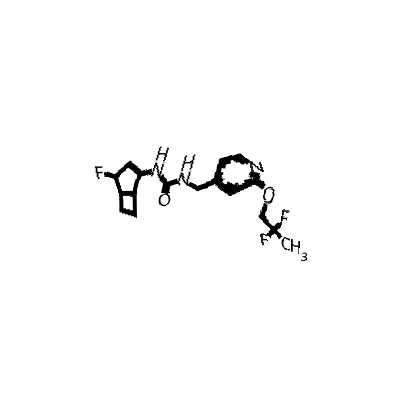 CC(F)(F)COc1cc(CNC(=O)NC2CC(F)C3CCC23)ccn1